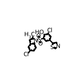 Cc1cc2cc(Cl)ccc2n1S(=O)(=O)c1cc(-c2cncs2)cc(Cl)c1O